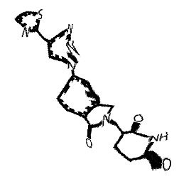 O=C1CCC(N2Cc3cc(-n4cc(-c5nccs5)nn4)ccc3C2=O)C(=O)N1